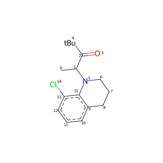 CC(C(=O)C(C)(C)C)N1CCCc2cccc(Cl)c21